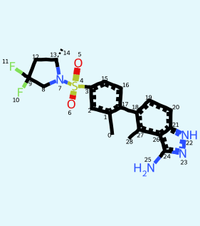 Cc1cc(S(=O)(=O)N2CC(F)(F)C[C@@H]2C)ccc1-c1ccc2[nH]nc(N)c2c1C